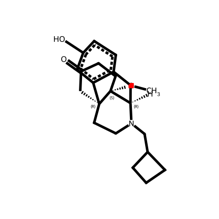 CO[C@@]12CCC(=O)C[C@@]13CCN(CC1CCC1)[C@@H]2Cc1ccc(O)cc13